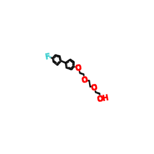 OCCOCCOCCOc1ccc(-c2ccc(F)cc2)cc1